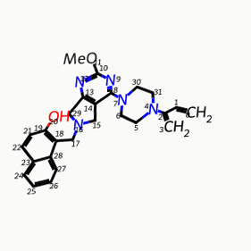 C=CC(=C)N1CCN(c2nc(OC)nc3c2CN(Cc2c(O)ccc4ccccc24)C3)CC1